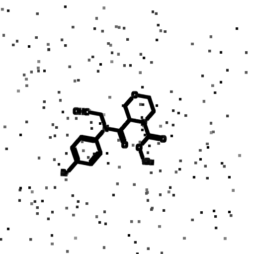 CC(C)(C)OC(=O)N1CCOCC1C(=O)N(CC=O)c1ccc(Br)cc1